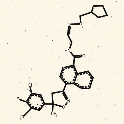 O=C(NC/C=N\OCC1CCCC1)c1ccc(C2=NOC(c3cc(Cl)c(F)c(Cl)c3)(C(F)(F)F)C2)c2ccccc12